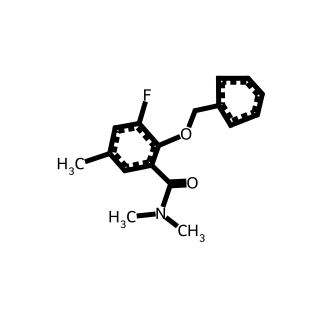 Cc1cc(F)c(OCc2ccccc2)c(C(=O)N(C)C)c1